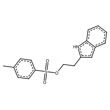 Cc1ccc(S(=O)(=O)OCCc2cc3ccccc3[nH]2)cc1